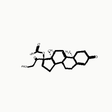 CCCC(=O)O[C@]1(C(=O)CO)CCC2C3CCC4=CC(=O)CC[C@]4(C)C3=CC[C@@]21C